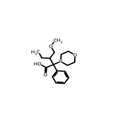 CCC(COC)C(C(=O)O)(c1ccccc1)N1CCOCC1